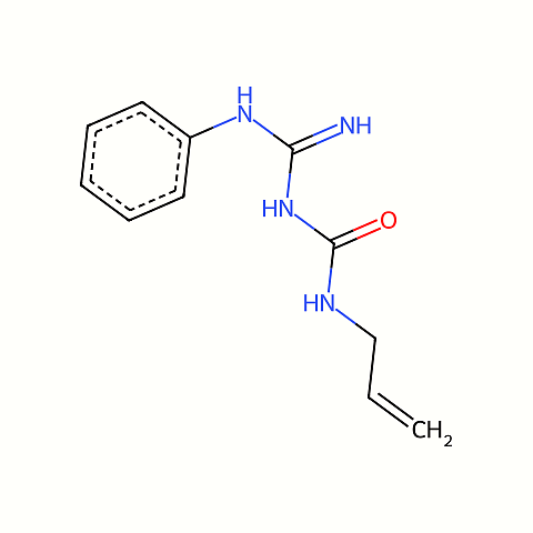 C=CCNC(=O)NC(=N)Nc1ccccc1